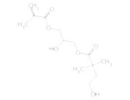 C=C(C)C(=O)OCC(O)COC(=O)C(C)(C)CCO